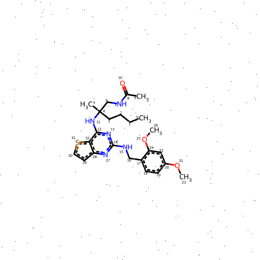 CCCCC(C)(CNC(C)=O)Nc1nc(NCc2ccc(OC)cc2OC)nc2ccsc12